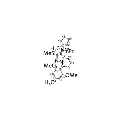 CCC[N+](C)(c1c(SC)nn2c(-c3c(OC)cc(C)cc3OC)cccc12)C1CCCO1